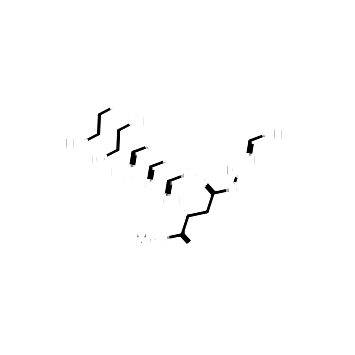 C=CC.C=CC.C=CC.C=CC.CCCCOC(=O)CCC(=O)OC.OCCO.OCCO